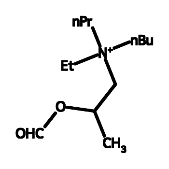 CCCC[N+](CC)(CCC)CC(C)OC=O